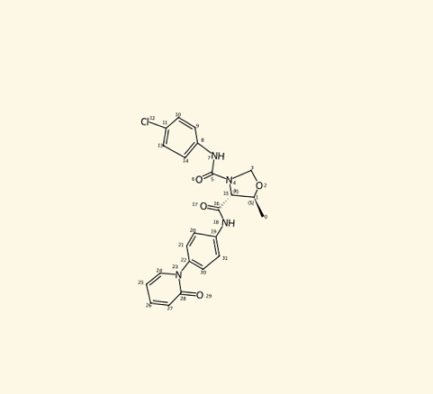 C[C@@H]1OCN(C(=O)Nc2ccc(Cl)cc2)[C@H]1C(=O)Nc1ccc(-n2ccccc2=O)cc1